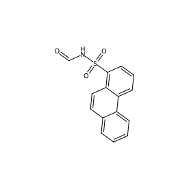 O=CNS(=O)(=O)c1cccc2c1ccc1ccccc12